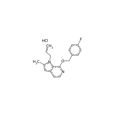 C=CCn1c(C)cc2ccnc(OCc3ccc(F)cc3)c21.Cl